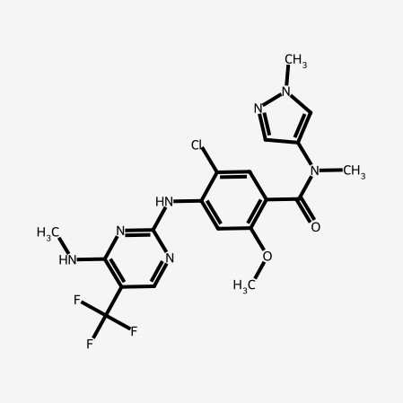 CNc1nc(Nc2cc(OC)c(C(=O)N(C)c3cnn(C)c3)cc2Cl)ncc1C(F)(F)F